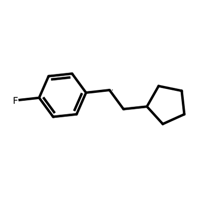 Fc1ccc([CH]CC2CCCC2)cc1